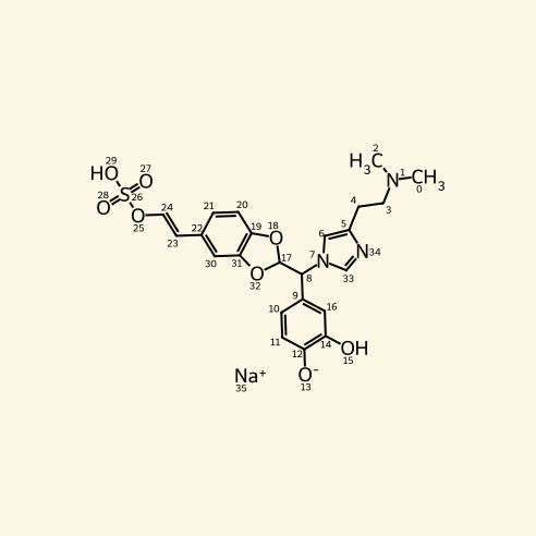 CN(C)CCc1cn(C(c2ccc([O-])c(O)c2)C2Oc3ccc(/C=C/OS(=O)(=O)O)cc3O2)cn1.[Na+]